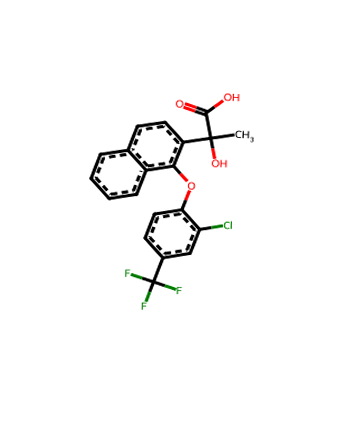 CC(O)(C(=O)O)c1ccc2ccccc2c1Oc1ccc(C(F)(F)F)cc1Cl